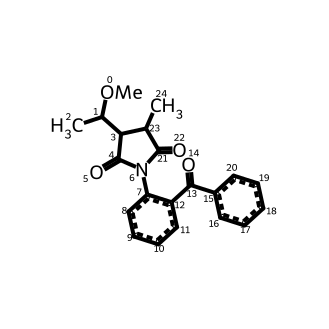 COC(C)C1C(=O)N(c2ccccc2C(=O)c2ccccc2)C(=O)C1C